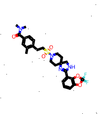 Cc1cc(C(=O)N(C)C)ccc1CCS(=O)(=O)N1CCC2(CC1)CNC(c1cccc3c1OC(F)(F)O3)=N2